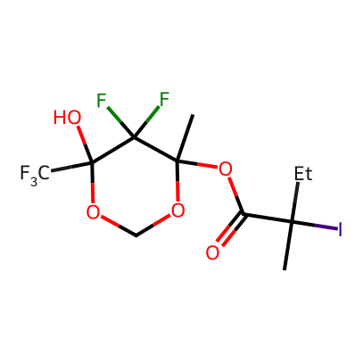 CCC(C)(I)C(=O)OC1(C)OCOC(O)(C(F)(F)F)C1(F)F